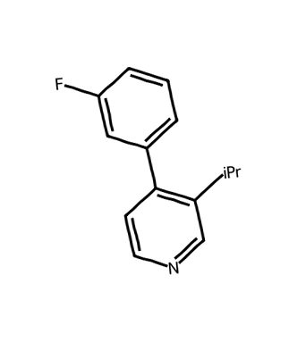 CC(C)c1cnccc1-c1cccc(F)c1